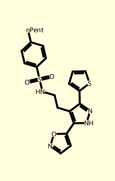 CCCCCc1ccc(S(=O)(=O)NCCc2c(-c3cccs3)n[nH]c2-c2ccno2)cc1